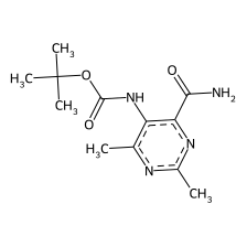 Cc1nc(C)c(NC(=O)OC(C)(C)C)c(C(N)=O)n1